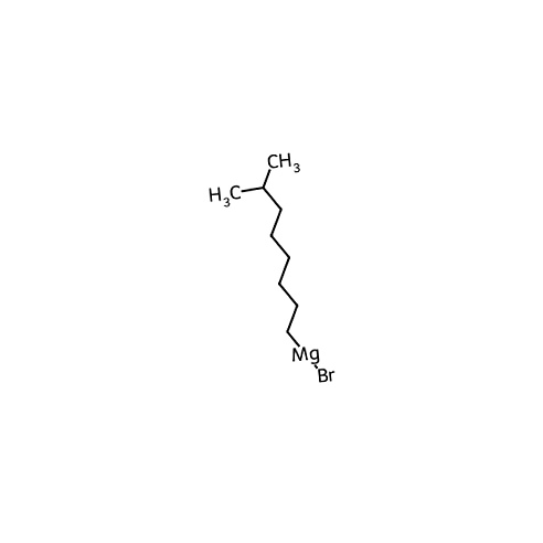 CC(C)CCCCC[CH2][Mg][Br]